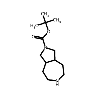 CC(C)(C)OC(=O)N1CC2CCNCCC2C1